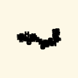 O=C(Cc1cccc(OC(F)(F)F)c1)Nc1ccn(CCCCn2cc(C(=O)NCc3ccccc3)nn2)c(=O)c1